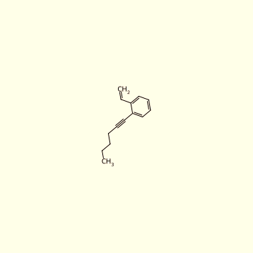 C=Cc1ccccc1C#CCCCC